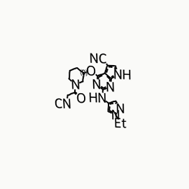 CCn1cc(Nc2nc(O[C@@H]3CCCN(C(=O)CC#N)C3)c3c(C#N)c[nH]c3n2)cn1